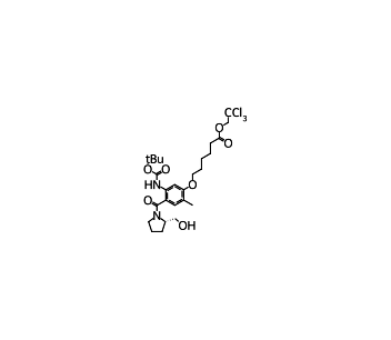 Cc1cc(C(=O)N2CCC[C@H]2CO)c(NC(=O)OC(C)(C)C)cc1OCCCCCC(=O)OCC(Cl)(Cl)Cl